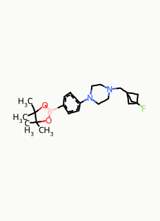 CC1(C)OB(c2ccc(N3CCN(CC45CC(F)(C4)C5)CC3)cc2)OC1(C)C